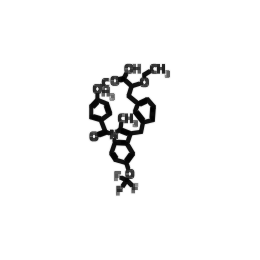 CCOC(Cc1cccc(Cc2c(C)n(C(=O)c3ccc(OC)cc3)c3ccc(OC(F)(F)F)cc23)c1)C(=O)O